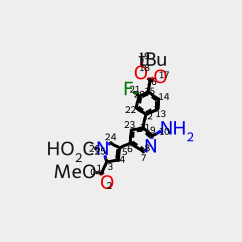 COC(=O)C1C=C(c2cnc(N)c(-c3ccc(C(=O)OC(C)(C)C)c(F)c3)c2)CN1C(=O)O